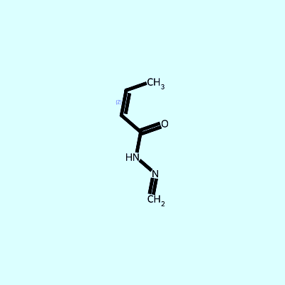 C=NNC(=O)/C=C\C